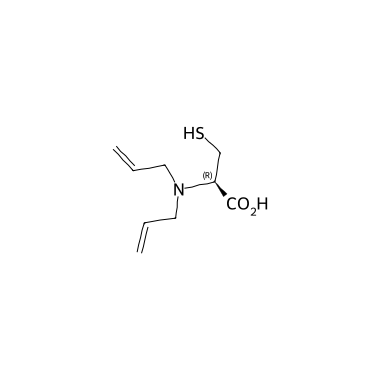 C=CCN(CC=C)[C@@H](CS)C(=O)O